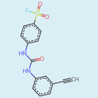 C#Cc1cccc(NC(=O)Nc2ccc(S(=O)(=O)F)cc2)c1